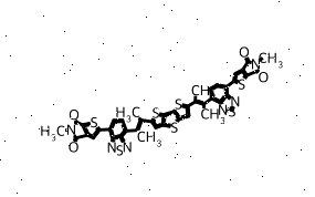 C/C(=C(/C)c1ccc(-c2cc3c(s2)C(=O)N(C)C3=O)c2nsnc12)c1cc2sc3cc(/C(C)=C(\C)c4ccc(-c5cc6c(s5)C(=O)N(C)C6=O)c5nsnc45)sc3c2s1